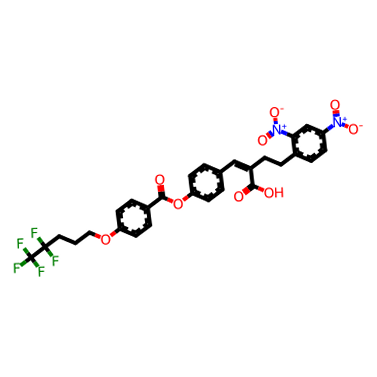 O=C(O)C(=Cc1ccc(OC(=O)c2ccc(OCCCC(F)(F)C(F)(F)F)cc2)cc1)CCc1ccc([N+](=O)[O-])cc1[N+](=O)[O-]